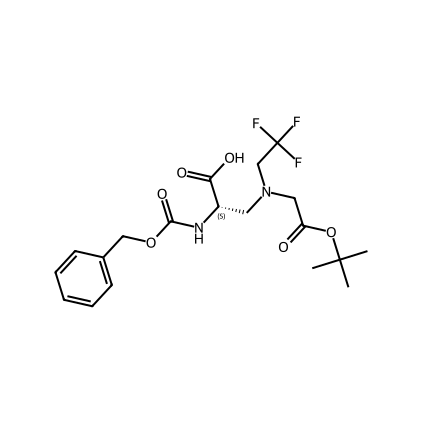 CC(C)(C)OC(=O)CN(C[C@H](NC(=O)OCc1ccccc1)C(=O)O)CC(F)(F)F